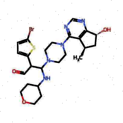 C[C@@H]1C[C@@H](O)c2ncnc(N3CCN(C(NC4CCOCC4)C(C=O)c4ccc(Br)s4)CC3)c21